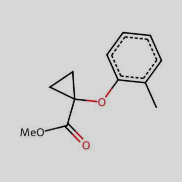 COC(=O)C1(Oc2ccccc2C)CC1